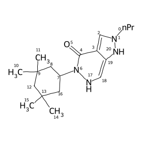 CCCN1C=C2C(=O)N(C3CC(C)(C)CC(C)(C)C3)NC=C2N1